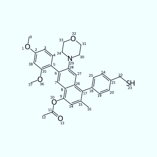 COc1ccc(-c2cc3c(OC(C)=O)cc(C)c(-c4ccc(CS)cc4)c3cc2N2CCOCC2)c(OC)c1